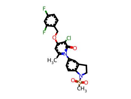 Cc1cc(OCc2ccc(F)cc2F)c(Cl)c(=O)n1-c1ccc2c(c1)CCN2S(C)(=O)=O